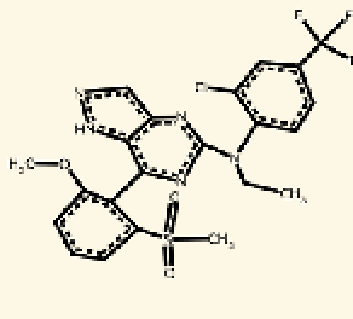 CCN(c1nc(-c2c(OC)cccc2S(C)(=O)=O)c2[nH]ncc2n1)c1ccc(C(F)(F)F)cc1Cl